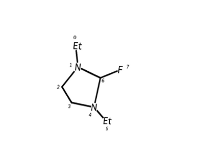 CCN1CCN(CC)C1F